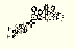 COC(=O)N[C@H](C(=O)N1CCC[C@H]1c1ncc(-c2ccc3c(c2)OC(c2ccccc2)C2=C3COc3cc(-c4cnc([C@@H]5CCCN5C(=O)[C@@H](N)C(C)C)[nH]4)ccc32)[nH]1)C(C)C